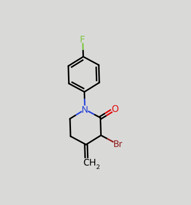 C=C1CCN(c2ccc(F)cc2)C(=O)C1Br